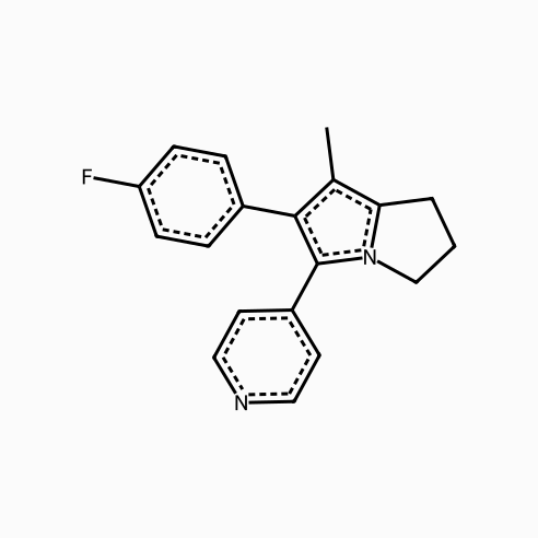 Cc1c(-c2ccc(F)cc2)c(-c2ccncc2)n2c1CCC2